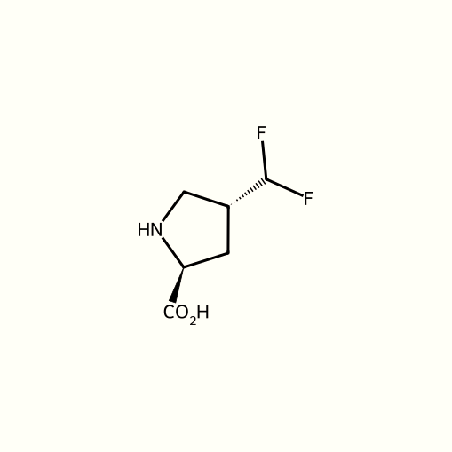 O=C(O)[C@@H]1C[C@@H](C(F)F)CN1